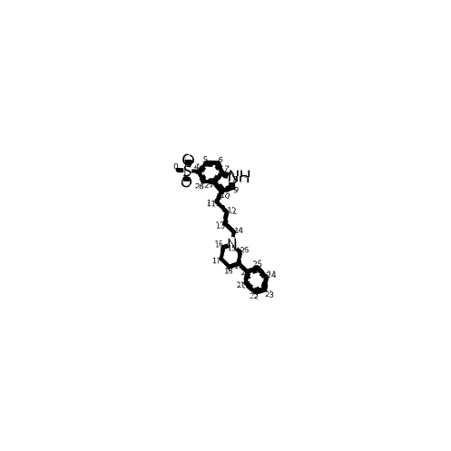 CS(=O)(=O)c1ccc2[nH]cc(CCCCN3CCCC(c4ccccc4)C3)c2c1